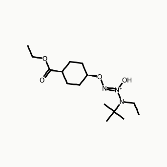 CCOC(=O)[C@H]1CC[C@@H](O/N=[N+](\O)N(CC)C(C)(C)C)CC1